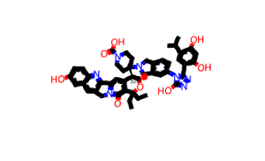 CCC1(CC)OC(=O)[C@H](C2(N3Cc4ccc(-n5c(O)nnc5-c5cc(C(C)C)c(O)cc5O)cc4C3)CCN(C(=O)O)CC2)c2cc3n(c(=O)c21)Cc1cc2cc(O)ccc2nc1-3